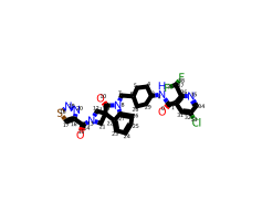 O=C(NC1CCC(CN2C(=O)C3(CN(C(=O)c4csnn4)C3)c3ccccc32)CC1)c1cc(Cl)cnc1C(F)F